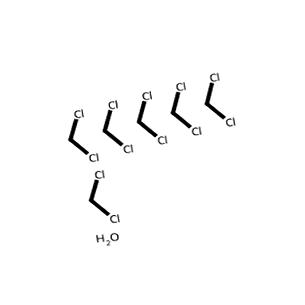 ClCCl.ClCCl.ClCCl.ClCCl.ClCCl.ClCCl.O